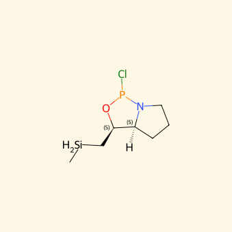 C[SiH2]C[C@H]1OP(Cl)N2CCC[C@@H]12